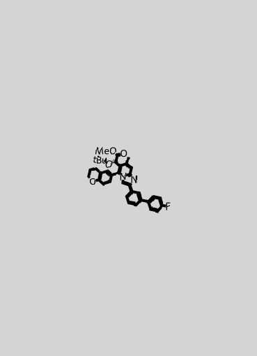 COC(=O)[C@@H](OC(C)(C)C)c1c(C)cc2nc(-c3cccc(-c4ccc(F)cc4)c3)cn2c1-c1ccc2c(c1)CCCO2